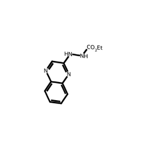 CCOC(=O)NNc1cnc2ccccc2n1